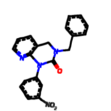 O=C1N(Cc2ccccc2)Cc2cccnc2N1c1cccc([N+](=O)[O-])c1